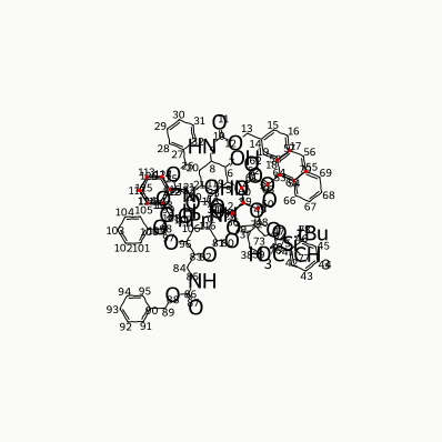 CCCOC1C(OC2C(O)C(NC(=O)OCc3ccccc3)CC(NC(=O)OCc3ccccc3)C2OC2OC3COC(c4ccccc4)OC3C(OC(=O)c3ccccc3)C2NC(=O)OCc2ccccc2)OC(CO[Si](C)(C)C(C)(C)C)C1OC1OC(CNC(=O)OCc2ccccc2)C(OC(=O)c2ccccc2)C(OC(=O)c2ccccc2)C1NC(=O)OCc1ccccc1